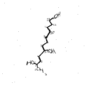 CC(O)CCC(O)CCCCCCCO